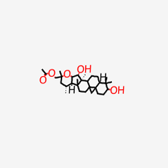 CC(=O)OCC1(C)C[C@@H](C)[C@H]2C(O1)[C@H](O)[C@@]1(C)C3CC[C@H]4C(C)(C)C(O)CCC45CC35CCC21C